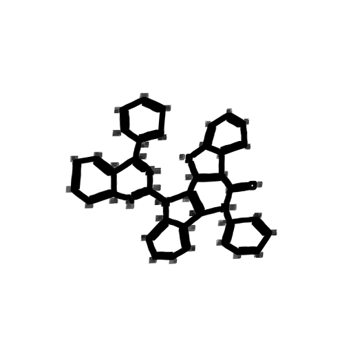 O=c1c2c3ccccc3sc2c2c(c3ccccc3n2-c2nc(-c3ccccc3)c3ccccc3n2)n1-c1ccccc1